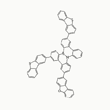 c1ccc2c(c1)-c1cc(-c3ccc4sc5ccccc5c4c3)ccc1B1c3ccc(-c4ccc5sc6ccccc6c5c4)cc3-c3cc(-c4ccc5oc6ccccc6c5c4)ccc3N12